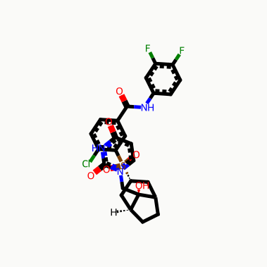 O=C(Nc1ccc(F)c(F)c1)c1ccc(Cl)c(S(=O)(=O)[C@@H]2CC3CC[C@@H](C2)[C@@]3(O)Cn2ccc(=O)[nH]c2=O)c1